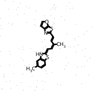 CC(C=Cc1nc2ccoc2s1)=CC=C1Nc2cc(C)ccc2S1